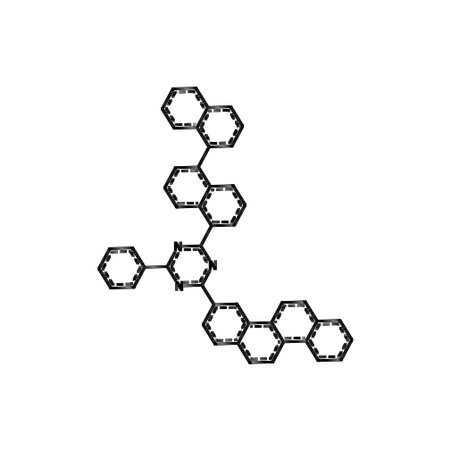 c1ccc(-c2nc(-c3ccc4ccc5c6ccccc6ccc5c4c3)nc(-c3cccc4c(-c5cccc6ccccc56)cccc34)n2)cc1